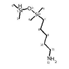 C[SiH](C)O[Si](C)(C)CCCCCN